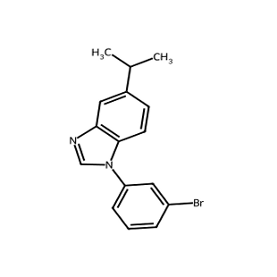 CC(C)c1ccc2c(c1)ncn2-c1cccc(Br)c1